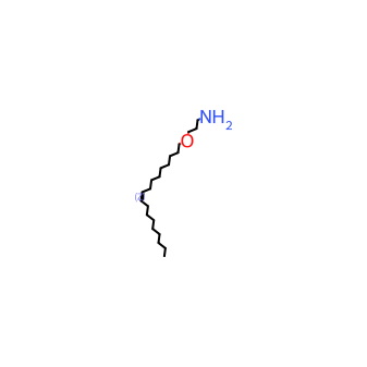 CCCCCCCC/C=C\CCCCCCCCOCCCN